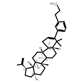 C=C(C)[C@@H]1CC[C@]2(C(C)=O)CC[C@]3(C)[C@H](CC[C@@H]4[C@@]5(C)CC=C(c6cccc(CCC(=O)O)c6)C(C)(C)[C@@H]5CC[C@]43C)[C@@H]12